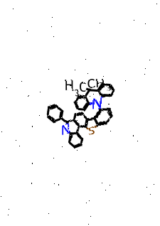 CC1(C)c2ccccc2N(c2cccc3sc4c(ccc5c(-c6ccccc6)nc6ccccc6c54)c23)c2ccccc21